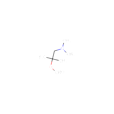 CN(C)CC(C)(OC=O)C(F)(F)F